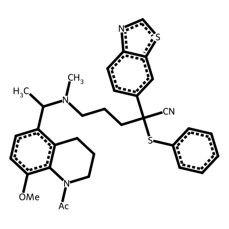 COc1ccc(C(C)N(C)CCCC(C#N)(Sc2ccccc2)c2ccc3ncsc3c2)c2c1N(C(C)=O)CCC2